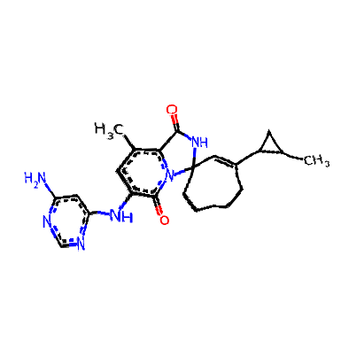 Cc1cc(Nc2cc(N)ncn2)c(=O)n2c1C(=O)NC21C=C(C2CC2C)CCCC1